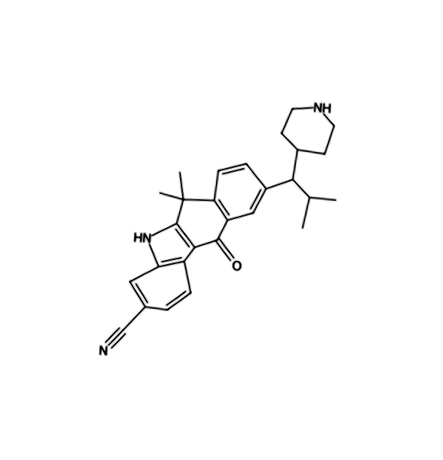 CC(C)C(c1ccc2c(c1)C(=O)c1c([nH]c3cc(C#N)ccc13)C2(C)C)C1CCNCC1